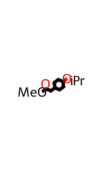 COC(=O)CC1CCC(OC(C)C)CC1